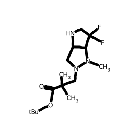 CN1C2C(CN1CC(C)(C)C(=O)OC(C)(C)C)NCC2(F)F